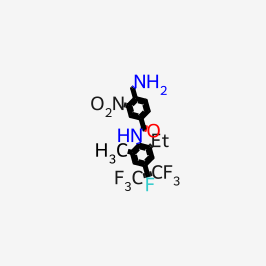 CCc1cc(C(F)(C(F)(F)F)C(F)(F)F)cc(C)c1NC(=O)c1ccc(CN)c([N+](=O)[O-])c1